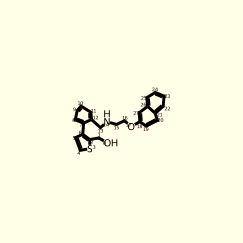 OCc1sccc1-c1ccccc1CNCCOc1ccc2ccccc2c1